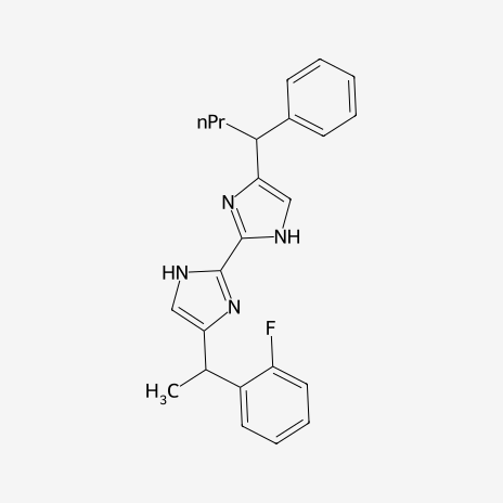 CCCC(c1ccccc1)c1c[nH]c(-c2nc(C(C)c3ccccc3F)c[nH]2)n1